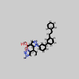 CCC(c1cn(C)nn1)c1c(C(=O)O)cnn1-c1cccc(-c2cccc(CCC3CCCCC3)c2)c1